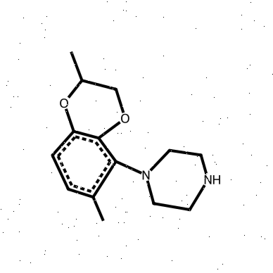 Cc1ccc2c(c1N1CCNCC1)OCC(C)O2